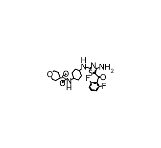 Nc1nc(NC2CCC(NS(=O)(=O)C3CCOCC3)CC2)sc1C(=O)c1c(F)cccc1F